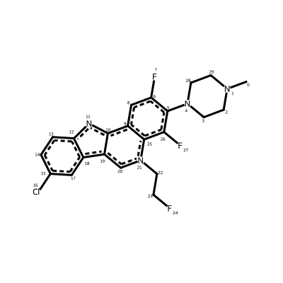 CN1CCN(c2c(F)cc3c4nc5ccc(Cl)cc5c-4cn(CCF)c3c2F)CC1